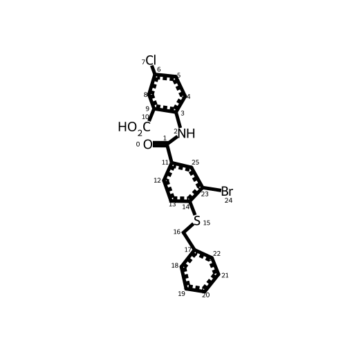 O=C(Nc1ccc(Cl)cc1C(=O)O)c1ccc(SCc2ccccc2)c(Br)c1